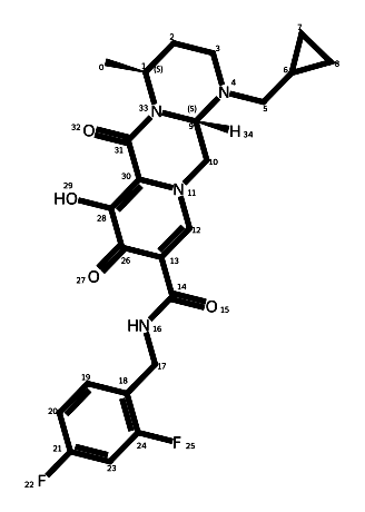 C[C@H]1CCN(CC2CC2)[C@@H]2Cn3cc(C(=O)NCc4ccc(F)cc4F)c(=O)c(O)c3C(=O)N12